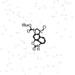 CC(C)(C)OC(=O)N1C[C@@H](CCl)c2c1cc1c3c(cccc23)NC(=O)O1